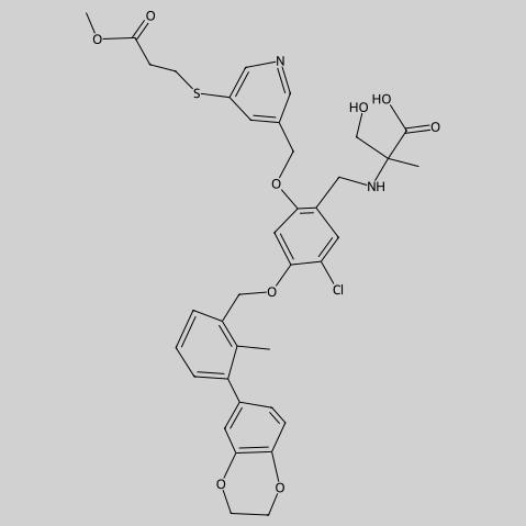 COC(=O)CCSc1cncc(COc2cc(OCc3cccc(-c4ccc5c(c4)OCCO5)c3C)c(Cl)cc2CNC(C)(CO)C(=O)O)c1